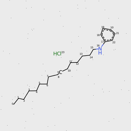 CCCCCCCCCCCCCCCCNc1ccccc1.Cl